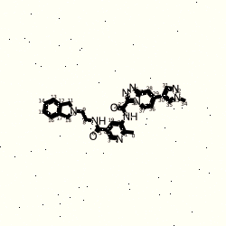 Cc1ncc(C(=O)NCCN2Cc3ccccc3C2)cc1NC(=O)c1nnc2cc(-c3cnn(C)c3)ccn12